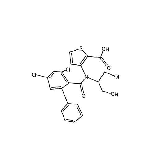 O=C(O)c1sccc1N(C(=O)c1c(Cl)cc(Cl)cc1-c1ccccc1)C(CO)CO